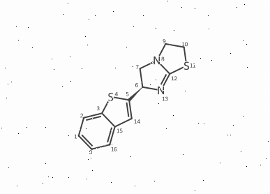 c1ccc2sc([C@H]3CN4CCSC4=N3)cc2c1